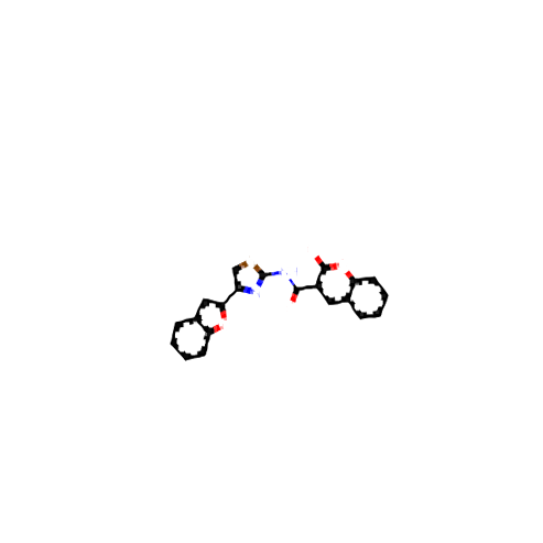 O=C(Nc1nc(-c2cc3ccccc3o2)cs1)c1cc2ccccc2oc1=O